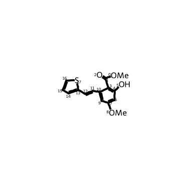 COC(=O)c1c(O)cc(OC)cc1C=Cc1cccs1